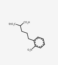 CCOC(=O)C(CCCc1ccccc1[N+](=O)[O-])C(=O)O